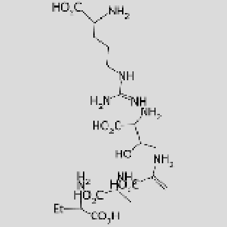 C=C(N)C(=O)O.CC(N)C(=O)O.CC(O)C(N)C(=O)O.CCC(N)C(=O)O.N=C(N)NCCCC(N)C(=O)O